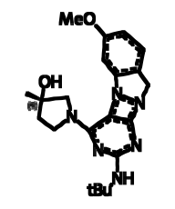 COc1ccc2c(c1)-n1c3c(N4CC[C@](C)(O)C4)nc(NC(C)(C)C)nc3n1C2